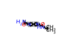 CC(C)CCNC(=O)CCN1CCC(C2CCN(CCC(N)=O)CC2)CC1